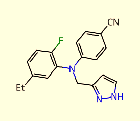 CCc1ccc(F)c(N(Cc2cc[nH]n2)c2ccc(C#N)cc2)c1